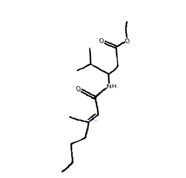 CCCC/C(C)=C/C(=O)NC(CC(=O)OC)C(C)C